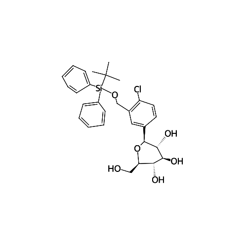 CC(C)(C)[Si](OCc1cc([C@@H]2O[C@H](CO)[C@@H](O)[C@H](O)[C@H]2O)ccc1Cl)(c1ccccc1)c1ccccc1